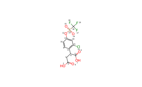 O=C(O)CC(C(=O)O)c1ccc(OS(=O)(=O)C(F)(F)F)cc1Cl